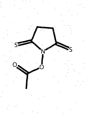 CC(=O)ON1C(=S)CCC1=S